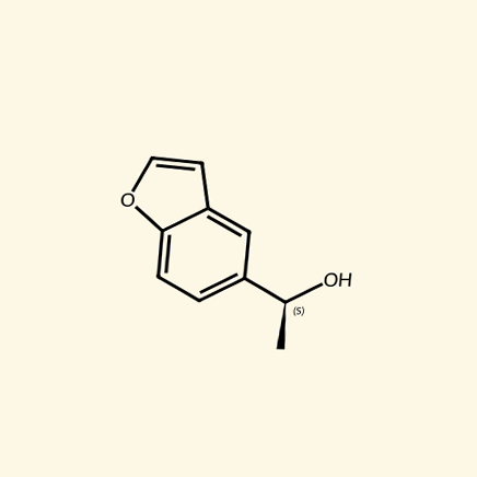 C[C@H](O)c1ccc2occc2c1